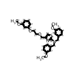 COc1cccc(CN(Cc2cccc(OC)c2)c2nc(COCCOc3cccc(OC)c3)cs2)c1